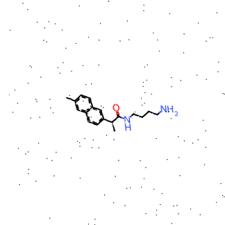 Cc1ccc2cc([C@H](C)C(=O)NCCCCN)ccc2c1